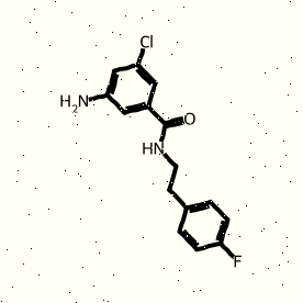 Nc1cc(Cl)cc(C(=O)NCCc2ccc(F)cc2)c1